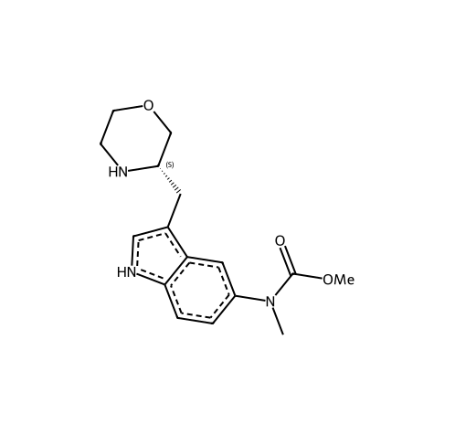 COC(=O)N(C)c1ccc2[nH]cc(C[C@H]3COCCN3)c2c1